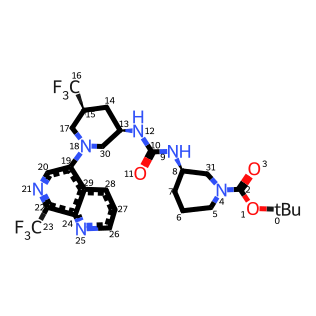 CC(C)(C)OC(=O)N1CCC[C@@H](NC(=O)N[C@@H]2C[C@H](C(F)(F)F)CN(c3cnc(C(F)(F)F)c4ncccc34)C2)C1